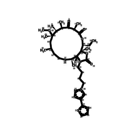 B[C@@H]1[C@@H](C)C(=O)[C@@H](C)C(=O)O[C@H](CC)[C@@]2(C)OC(=O)N(CCCCn3cc(-c4nccs4)nn3)[C@@H]2[C@H](C)NCC[C@@H](C)C[C@@]1(C)OC